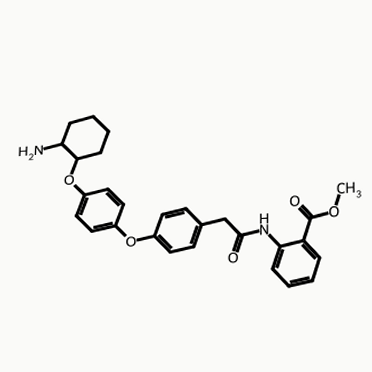 COC(=O)c1ccccc1NC(=O)Cc1ccc(Oc2ccc(OC3CCCCC3N)cc2)cc1